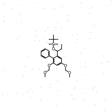 CCC(O[Si](C)(C)C(C)(C)C)c1cc(OCOC)cc(OCOC)c1-c1ccccc1